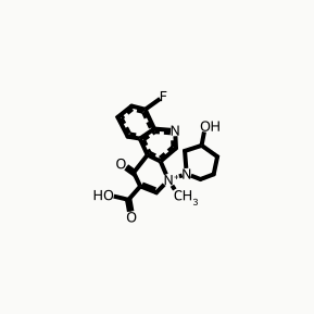 C[N+]1(N2CCCC(O)C2)C=C(C(=O)O)C(=O)c2c1cnc1c(F)cccc21